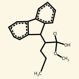 CCCC(C1c2ccccc2-c2ccccc21)C(O)(Cl)OC